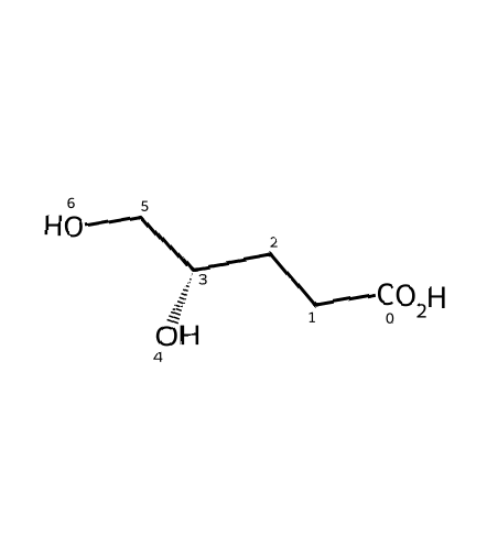 O=C(O)CC[C@H](O)CO